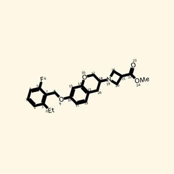 CCc1cccc(F)c1COc1ccc2c(c1)OCC(N1CC(C(=O)OC)C1)C2